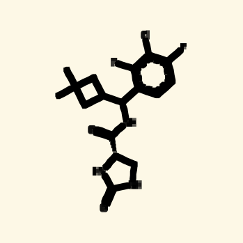 CC1(C)CC(C(NC(=O)[C@@H]2CNC(=O)N2)c2ccc(F)c(Cl)c2F)C1